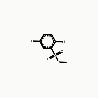 COS(=O)(=O)c1cc(F)ccc1Cl